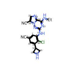 CCNc1nc(Nc2cc(C#N)cc(C3CNC3)c2Cl)nn2c(C#N)cnc12